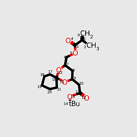 C=C(C)C(=O)OCC1CC(CC(=O)OC(C)(C)C)OC2(CCCCC2)O1